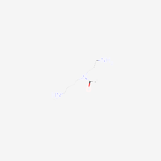 CCCNCCCCN(CCCN)C(=O)CC